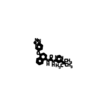 CC(C)(C)c1cc(NC(=O)NC2CCC(Oc3ccc4nncn4c3)c3ccccc32)ncn1